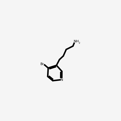 NCCCCc1cnccc1Br